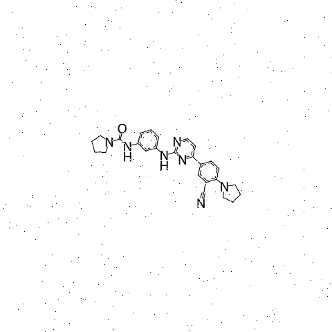 N#Cc1cc(-c2ccnc(Nc3cccc(NC(=O)N4CCCC4)c3)n2)ccc1N1CCCC1